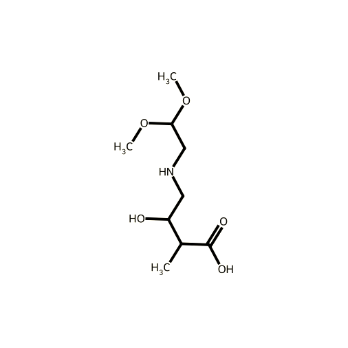 COC(CNCC(O)C(C)C(=O)O)OC